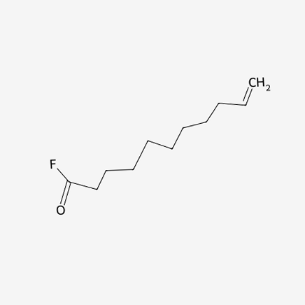 C=CCCCCCCCCC(=O)F